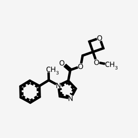 COC1(COC(=O)c2cncn2C(C)c2ccccc2)COC1